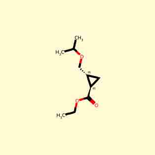 CCOC(=O)[C@@H]1C[C@H]1COC(C)C